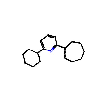 c1cc(C2CCCCCC2)nc(C2CCCCC2)c1